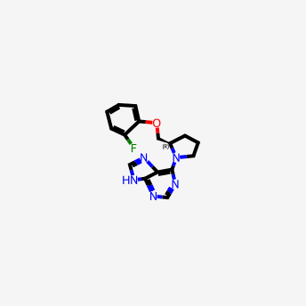 Fc1ccccc1OC[C@H]1CCCN1c1ncnc2[nH]cnc12